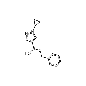 OB(OCc1ccccc1)c1cnn(C2CC2)c1